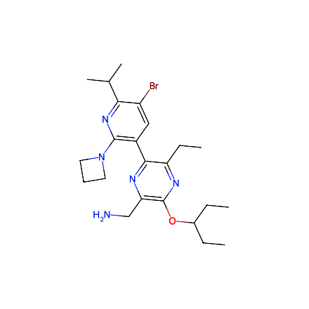 CCc1nc(OC(CC)CC)c(CN)nc1-c1cc(Br)c(C(C)C)nc1N1CCC1